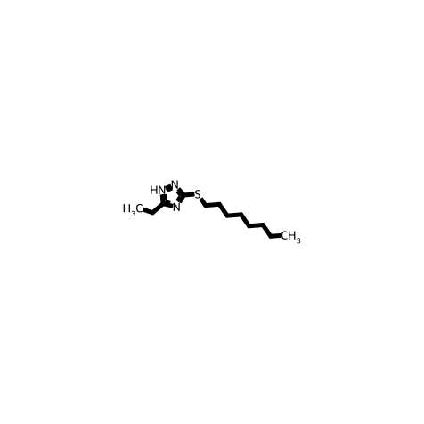 CCCCCCCCSc1n[nH]c(CC)n1